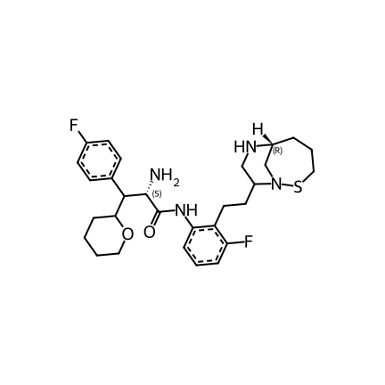 N[C@H](C(=O)Nc1cccc(F)c1CCC1CN[C@@H]2CCCSN1C2)C(c1ccc(F)cc1)C1CCCCO1